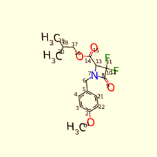 COc1ccc(CN2C(=O)C(F)(F)C2C(=O)OCC(C)C)cc1